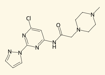 CN1CCN(CC(=O)Nc2cc(Cl)nc(-n3cccn3)n2)CC1